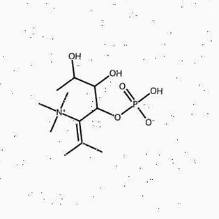 CC(C)=C(C(OP(=O)([O-])O)C(O)C(C)O)[N+](C)(C)C